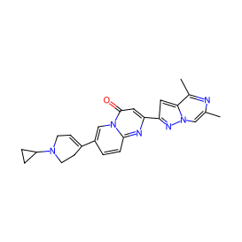 Cc1cn2nc(-c3cc(=O)n4cc(C5=CCN(C6CC6)CC5)ccc4n3)cc2c(C)n1